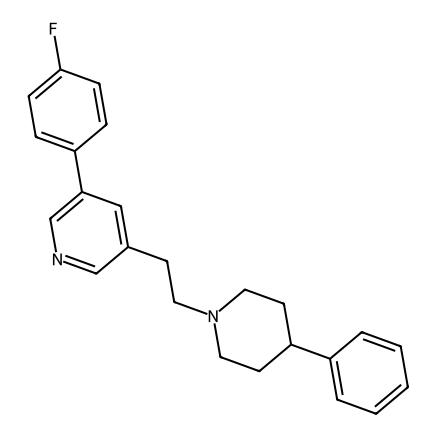 Fc1ccc(-c2cncc(CCN3CCC(c4ccccc4)CC3)c2)cc1